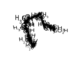 Cn1cc(NC(=O)c2nc(NC(=O)CCNC(=O)c3cc(NC(=O)c4nccn4C)cn3C)cn2C)cc1C(=O)NCCCC(=O)Nc1cn(C)c(C(=O)NCCC(=O)Nc2cc(C(=O)Nc3cn(C)c(C(=O)O)n3)n(C)c2)n1